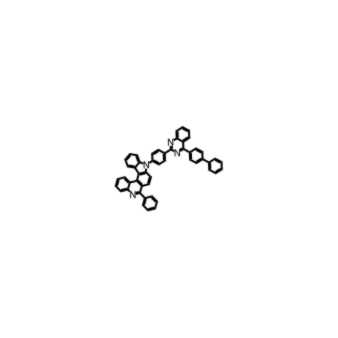 c1ccc(-c2ccc(-c3nc(-c4ccc(-n5c6ccccc6c6c7c(ccc65)c(-c5ccccc5)nc5ccccc57)cc4)nc4ccccc34)cc2)cc1